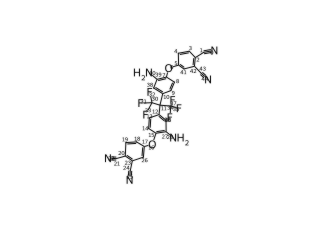 N#Cc1ccc(Oc2ccc(C(c3ccc(Oc4ccc(C#N)c(C#N)c4)c(N)c3)(C(F)(F)F)C(F)(F)F)cc2N)cc1C#N